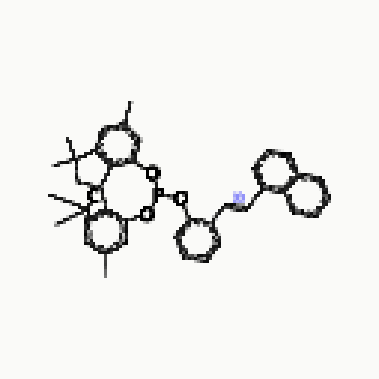 Cc1cc2c3c(c1)C(C)(C)CC31CC(C)(C)c3cc(C)cc(c31)OP(Oc1ccccc1/C=C/c1cccc3ccccc13)O2